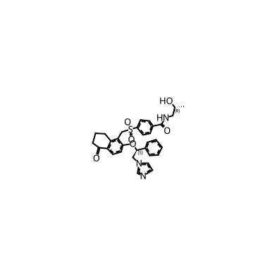 C[C@@H](O)CNC(=O)c1ccc(S(=O)(=O)Cc2c(O[C@H](Cn3ccnc3)c3ccccc3)ccc3c2CCCC3=O)cc1